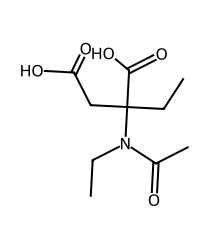 CCN(C(C)=O)C(CC)(CC(=O)O)C(=O)O